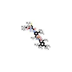 CSCCC(NC(=O)OC(C)(C)C)C(=O)Nc1cc(C(C)C)c(OS(=O)(=O)NC(=O)Cc2c(C(C)C)cc(C(C)C)cc2C(C)C)c(C(C)C)c1